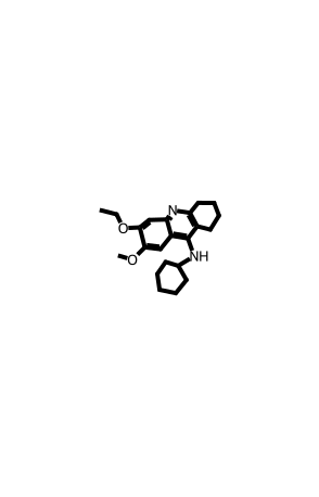 CCOc1cc2nc3c(c(NC4CCCCC4)c2cc1OC)CCCC3